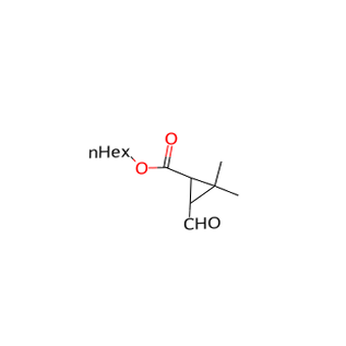 CCCCCCOC(=O)C1C(C=O)C1(C)C